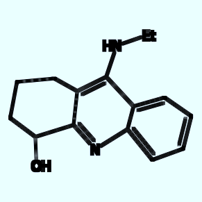 CCNc1c2c(nc3ccccc13)C(O)CCC2